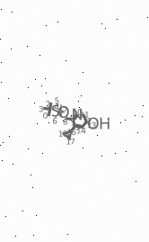 CC(C)(C)[Si](C)(C)OCC1=NCC(O)C=C1C1CC1